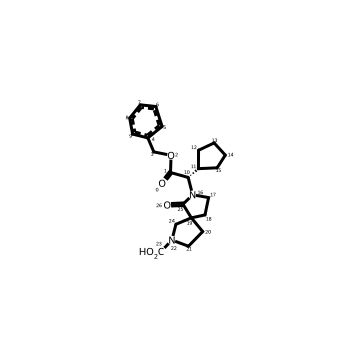 O=C(OCc1ccccc1)[C@H](C1CCCC1)N1CCC2(CCN(C(=O)O)C2)C1=O